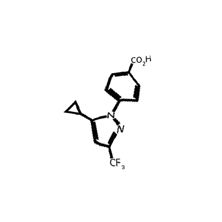 O=C(O)c1ccc(-n2nc(C(F)(F)F)cc2C2CC2)cc1